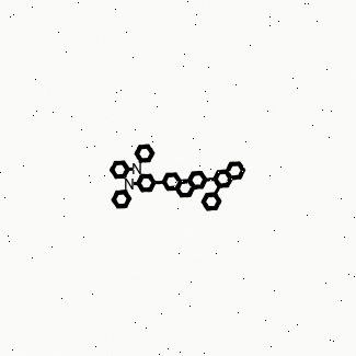 c1ccc(-c2cc3ccccc3cc2-c2ccc3c(ccc4cc(-c5ccc6c(c5)N(c5ccccc5)c5ccccc5N6c5ccccc5)ccc43)c2)cc1